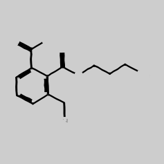 CCCCOC(=O)c1c(CN)cccc1C(=O)O